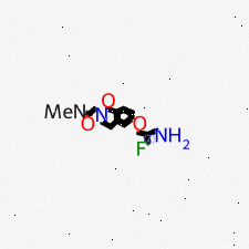 CNC(=O)CN1CCc2cc(OC/C(=C\F)CN)ccc2C1=O